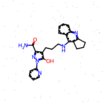 NC(=O)c1nn(-c2ccccn2)c(O)c1CCCNc1c2c(nc3ccccc13)CCC2